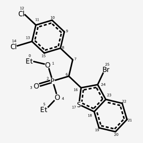 CCOP(=O)(OCC)C(Cc1ccc(Cl)c(Cl)c1)c1sc2ccccc2c1Br